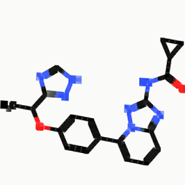 CC(Oc1ccc(-c2cccc3nc(NC(=O)C4CC4)nn23)cc1)c1nc[nH]n1